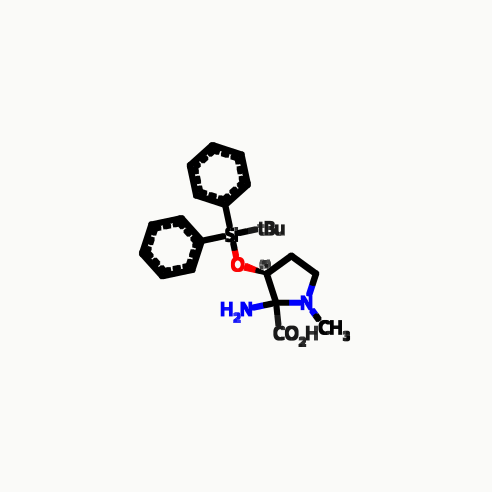 CN1CC[C@H](O[Si](c2ccccc2)(c2ccccc2)C(C)(C)C)C1(N)C(=O)O